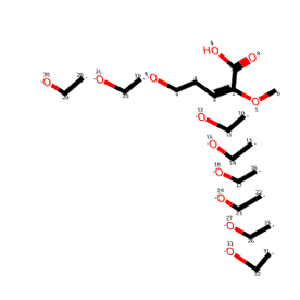 COC(=CC[CH][O])C(=O)O.[CH2][CH][O].[CH2][CH][O].[CH2][CH][O].[CH2][CH][O].[CH2][CH][O].[CH2][CH][O].[CH2][CH][O].[CH2][CH][O]